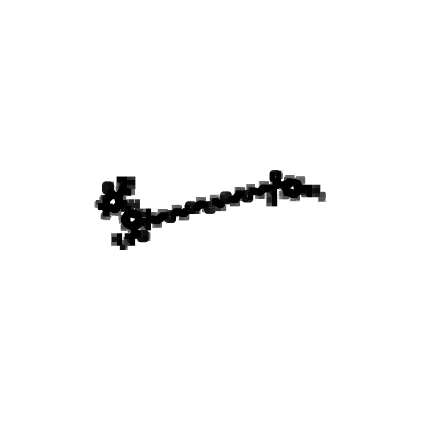 CC(=N)C1=C(Nc2ccc(C(N)=O)c(NCCCOCCOCCOCCOCCOCCCNC(=O)c3ccc(N)cc3)c2)CC(C)(C)CC1=O